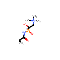 C=CC(=O)N/[P+]([O-])=C(\O)C[N+](C)(C)C